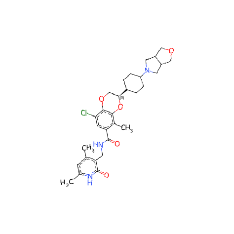 Cc1cc(C)c(CNC(=O)c2cc(Cl)c3c(c2C)O[C@H](C2CCC(N4CC5COCC5C4)CC2)CO3)c(=O)[nH]1